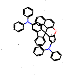 c1ccc(N(c2ccccc2)c2ccc3c(c2)-c2ccccc2C32c3cc(N(c4ccccc4)c4ccccc4)ccc3Oc3ccc4ccccc4c32)cc1